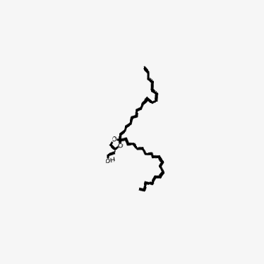 CCCCC/C=C\C/C=C\CCCCCCCCC1(CCCCCCCC/C=C\C/C=C\CCCCC)OC[C@@H](CCO)O1